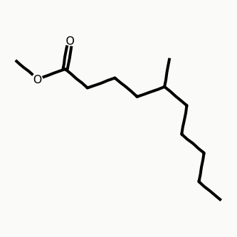 CCCCCC(C)CCCC(=O)OC